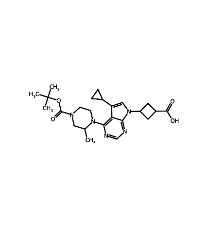 CC1CN(C(=O)OC(C)(C)C)CCN1c1ncnc2c1c(C1CC1)cn2C1CC(C(=O)O)C1